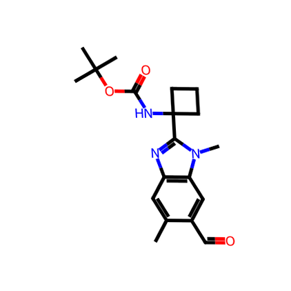 Cc1cc2nc(C3(NC(=O)OC(C)(C)C)CCC3)n(C)c2cc1C=O